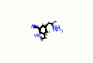 C[C@@H](N)Cc1cc(C#N)c2c(c1)[CH]CN2